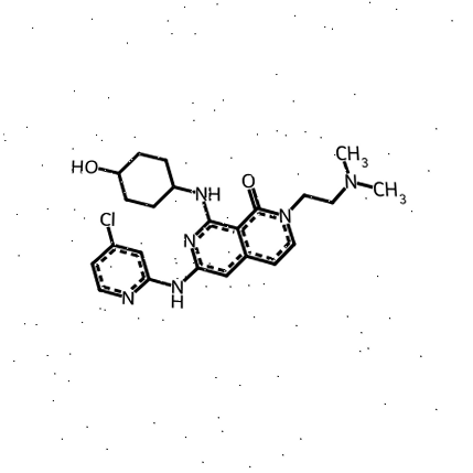 CN(C)CCn1ccc2cc(Nc3cc(Cl)ccn3)nc(NC3CCC(O)CC3)c2c1=O